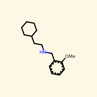 COc1ccccc1CNCCC1CCCCC1